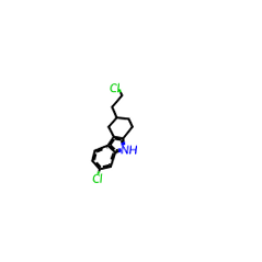 ClCCC1CCc2[nH]c3cc(Cl)ccc3c2C1